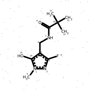 Cn1nc(F)c(CNC(=O)C(C)(C)C)c1O